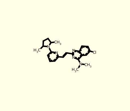 CC1CCC(C)N1c1cccc(/C=C/c2nc(N(C)C)c3cc(Cl)ccc3n2)n1